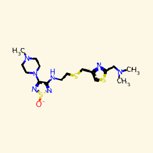 CN(C)Cc1nc(CSCCNc2n[s+]([O-])nc2N2CCN(C)CC2)cs1